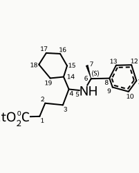 CCOC(=O)CCCC(N[C@@H](C)c1ccccc1)C1CCCCC1